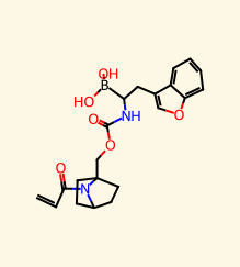 C=CC(=O)N1C2CCC1(COC(=O)NC(Cc1coc3ccccc13)B(O)O)CC2